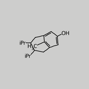 Cc1c2cc(O)cc1CC(C(C)C)C(C(C)C)C2